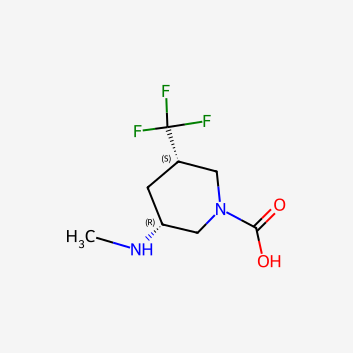 CN[C@@H]1C[C@H](C(F)(F)F)CN(C(=O)O)C1